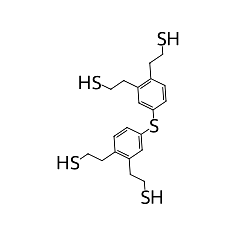 SCCc1ccc(Sc2ccc(CCS)c(CCS)c2)cc1CCS